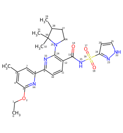 CCOc1cc(C)cc(-c2ccc(C(=O)NS(=O)(=O)c3cc[nH]n3)c(N3CCC(C)C3(C)C)n2)n1